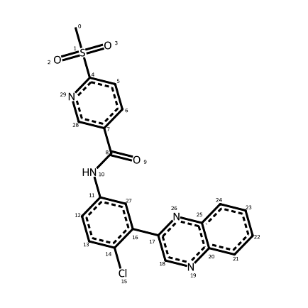 CS(=O)(=O)c1ccc(C(=O)Nc2ccc(Cl)c(-c3cnc4ccccc4n3)c2)cn1